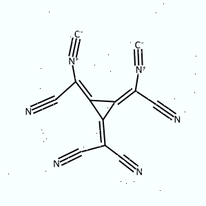 [C-]#[N+]/C(C#N)=C1/C(=C(C#N)C#N)/C1=C(\C#N)[N+]#[C-]